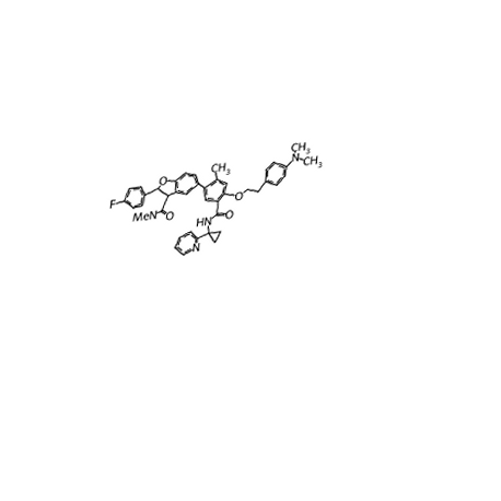 CNC(=O)C1c2cc(-c3cc(C(=O)NC4(c5ccccn5)CC4)c(OCCc4ccc(N(C)C)cc4)cc3C)ccc2OC1c1ccc(F)cc1